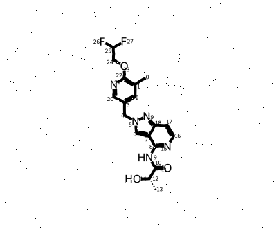 Cc1cc(Cn2cc3c(NC(=O)[C@H](C)O)nccc3n2)cnc1OCC(F)F